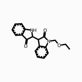 CCOCN1C(=O)C(C2Nc3ccccc3C2=O)c2ccccc21